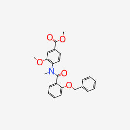 COC(=O)c1ccc(N(C)C(=O)c2ccccc2OCc2ccccc2)c(OC)c1